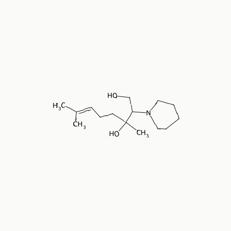 CC(C)=CCCC(C)(O)C(CO)N1CCCCC1